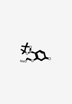 COCOC1=C(B2OC(C)(C)C(C)(C)O2)C=CC(Cl)C1